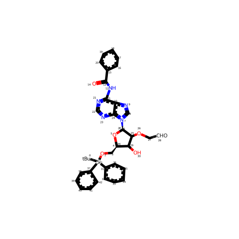 CC(C)(C)[Si](OC[C@H]1O[C@@H](n2cnc3c(NC(=O)c4ccccc4)ncnc32)C(OCC=O)C1O)(c1ccccc1)c1ccccc1